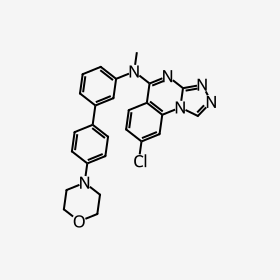 CN(c1cccc(-c2ccc(N3CCOCC3)cc2)c1)c1nc2nncn2c2cc(Cl)ccc12